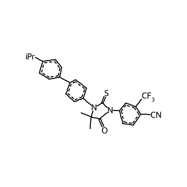 CC(C)c1ccc(-c2ccc(N3C(=S)N(c4ccc(C#N)c(C(F)(F)F)c4)C(=O)C3(C)C)cc2)cc1